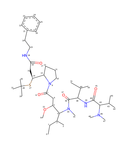 CCC(C)C(C(CC(=O)N1CCCC1[C@H](CC(=O)NCCc1ccccc1)SC(C)(C)C)OC)N(C)C(=O)C(NC(=O)C(C(C)C)N(C)C)C(C)C